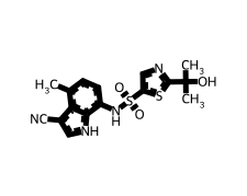 Cc1ccc(NS(=O)(=O)c2cnc(C(C)(C)O)s2)c2[nH]cc(C#N)c12